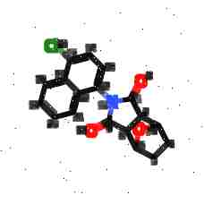 O=C1C2C3CCC(O3)C2C(=O)N1c1ccc(Cl)c2ccccc12